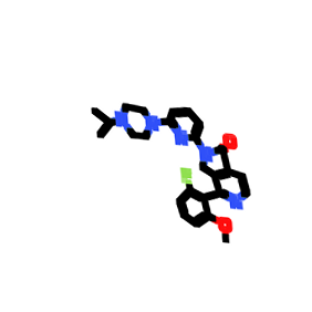 COc1cccc(F)c1-c1nccc2c1CN(c1cccc(N3CCN(C(C)C)CC3)n1)C2=O